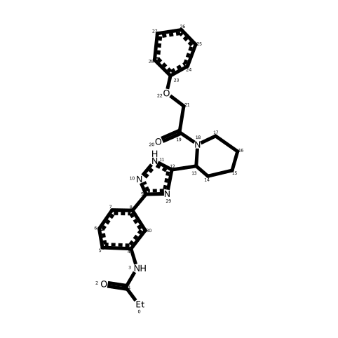 CCC(=O)Nc1cccc(-c2n[nH]c(C3CCCCN3C(=O)COc3ccccc3)n2)c1